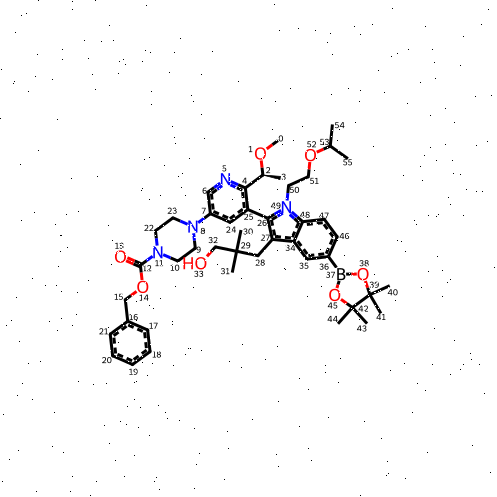 CO[C@@H](C)c1ncc(N2CCN(C(=O)OCc3ccccc3)CC2)cc1-c1c(CC(C)(C)CO)c2cc(B3OC(C)(C)C(C)(C)O3)ccc2n1CCOC(C)C